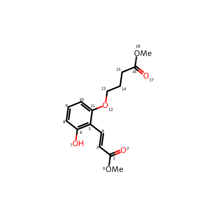 COC(=O)C=Cc1c(O)cccc1OCCCC(=O)OC